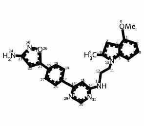 COc1cccc2c1cc(C)n2CCNc1cc(-c2ccc(-c3cc(N)no3)cc2)ncn1